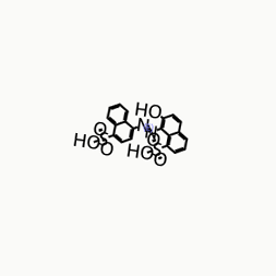 O=S(=O)(O)c1ccc(/N=N/c2c(O)ccc3cccc(S(=O)(=O)O)c23)c2ccccc12